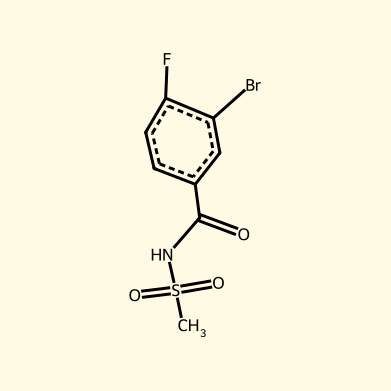 CS(=O)(=O)NC(=O)c1ccc(F)c(Br)c1